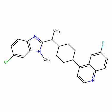 CC(c1nc2ccc(Cl)cc2n1C)C1CCC(c2ccnc3ccc(F)cc23)CC1